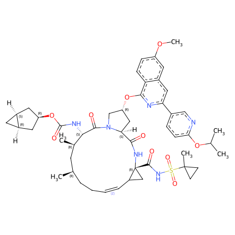 COc1ccc2c(O[C@@H]3C[C@H]4C(=O)N[C@]5(C(=O)NS(=O)(=O)C6(C)CC6)CC5/C=C\CC[C@@H](C)C[C@@H](C)[C@H](NC(=O)O[C@@H]5C[C@@H]6C[C@@H]6C5)C(=O)N4C3)nc(-c3ccc(OC(C)C)nc3)cc2c1